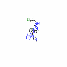 C=C/C(Cl)=C(/N=C/N=C(\C)NC/C=C\C/C(F)=C(\C)Cl)C(\C)=C/CNC(C1=CCCC=CC1)/C(N)=C/N(N)C1CCN(CC)CC1